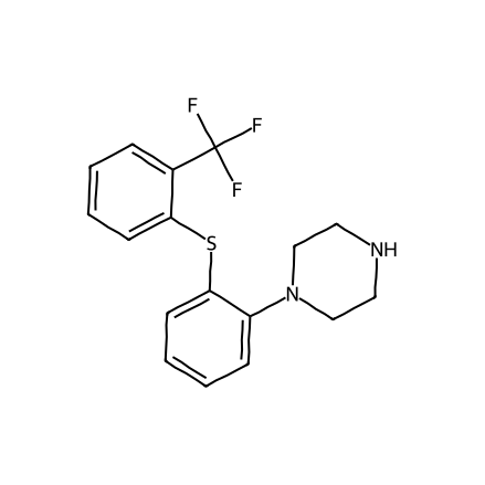 FC(F)(F)c1ccccc1Sc1ccccc1N1CCNCC1